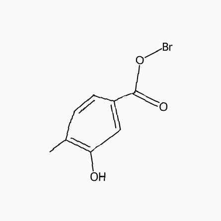 Cc1ccc(C(=O)OBr)cc1O